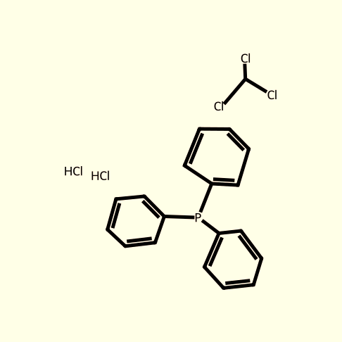 Cl.Cl.ClC(Cl)Cl.c1ccc(P(c2ccccc2)c2ccccc2)cc1